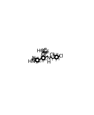 Clc1ccc(CCNCc2ccc(-c3ccc4[nH]cnc4c3)cc2)c(Cl)c1.O=C(O)C(F)(F)F